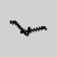 CCCCCCCCCCNC1CCCC(NCCCCCCCCCC)C1